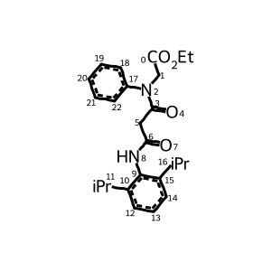 CCOC(=O)CN(C(=O)CC(=O)Nc1c(C(C)C)cccc1C(C)C)c1ccccc1